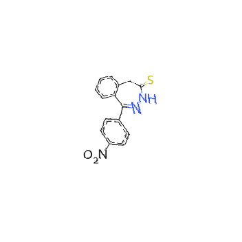 O=[N+]([O-])c1ccc(C2=NNC(=S)Cc3ccccc32)cc1